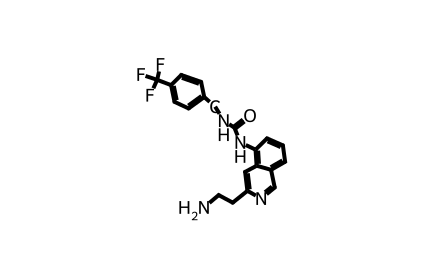 NCCc1cc2c(NC(=O)NCc3ccc(C(F)(F)F)cc3)cccc2cn1